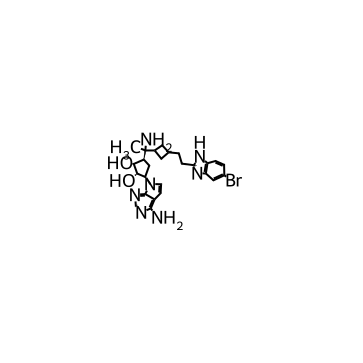 CC(N)(C1CC(CCc2nc3cc(Br)ccc3[nH]2)C1)[C@H]1C[C@@H](n2ccc3c(N)ncnc32)[C@H](O)[C@@H]1O